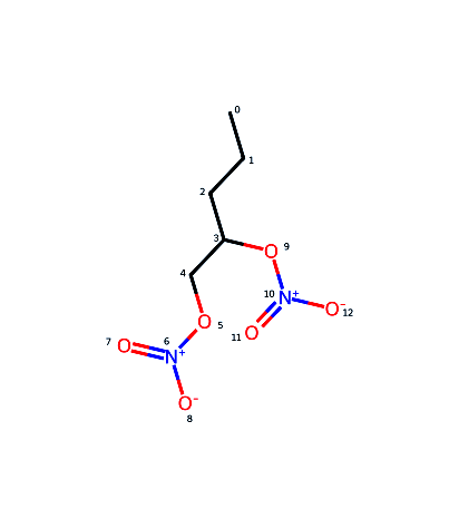 CCCC(CO[N+](=O)[O-])O[N+](=O)[O-]